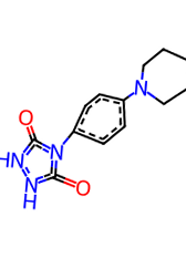 O=c1[nH][nH]c(=O)n1-c1ccc(N2CCCCC2)cc1